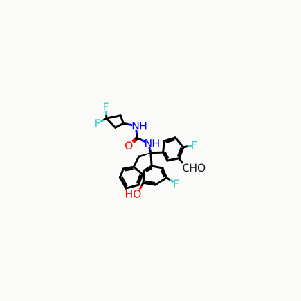 O=Cc1cc([C@@](Cc2ccccc2)(NC(=O)NC2CC(F)(F)C2)c2cc(O)cc(F)c2)ccc1F